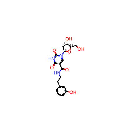 O=C(NCCc1cccc(O)c1)c1cn([C@H]2C[C@H](O)[C@@H](CO)O2)c(=O)[nH]c1=O